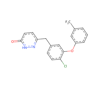 O=c1ccc(Cc2ccc(Cl)c(Oc3cccc(C(F)(F)F)c3)c2)n[nH]1